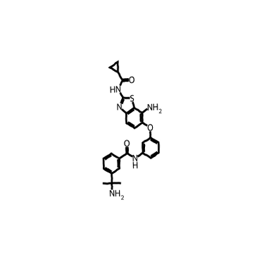 CC(C)(N)c1cccc(C(=O)Nc2cccc(Oc3ccc4nc(NC(=O)C5CC5)sc4c3N)c2)c1